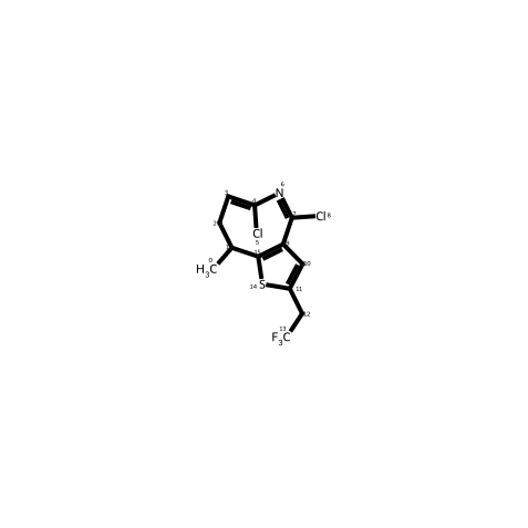 CC1C/C=C(Cl)/N=C(/Cl)c2cc(CC(F)(F)F)sc21